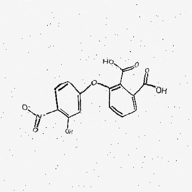 O=C(O)c1cccc(Oc2ccc([N+](=O)[O-])c(O)c2)c1C(=O)O